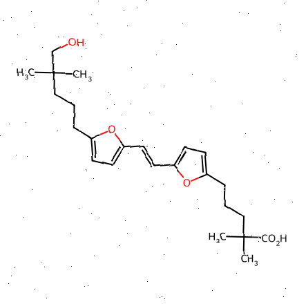 CC(C)(CO)CCCc1ccc(C=Cc2ccc(CCCC(C)(C)C(=O)O)o2)o1